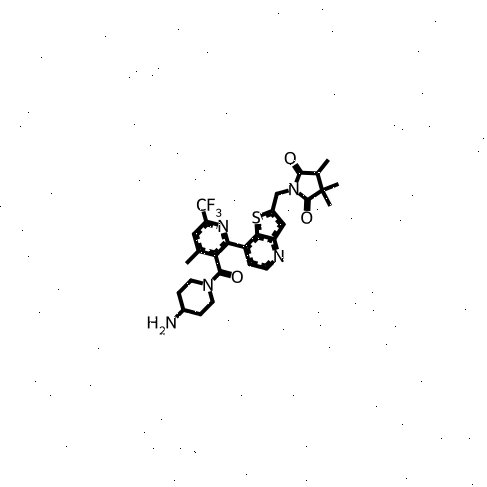 Cc1cc(C(F)(F)F)nc(-c2ccnc3cc(CN4C(=O)C(C)C(C)(C)C4=O)sc23)c1C(=O)N1CCC(N)CC1